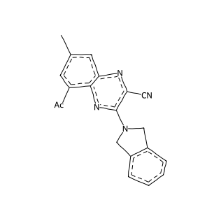 CC(=O)c1cc(C)cc2nc(C#N)c(N3Cc4ccccc4C3)nc12